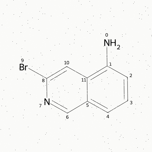 Nc1cccc2cnc(Br)cc12